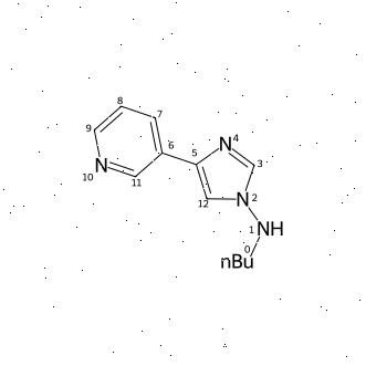 CCCCNn1cnc(-c2cccnc2)c1